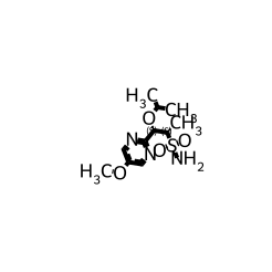 COc1cnc([C@H](OC(C)C)[C@H](C)S(N)(=O)=O)nc1